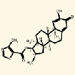 Cc1ncsc1C(=O)O[C@@H]1[C@H](C)C[C@H]2[C@@H]3CCC4=CC(=O)C(O)=C[C@]4(C)[C@H]3CC[C@]12C